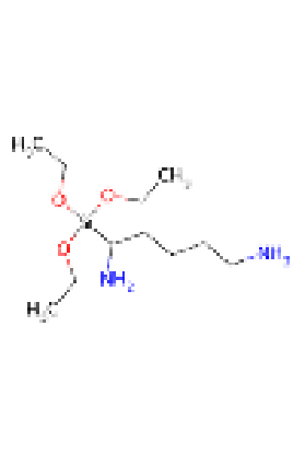 CCO[Si](OCC)(OCC)C(N)CCCCN